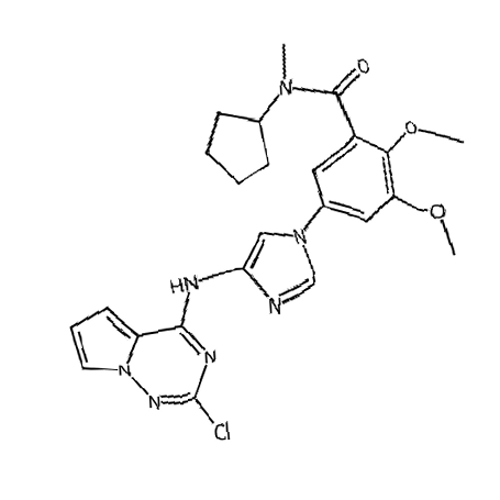 COc1cc(-n2cnc(Nc3nc(Cl)nn4cccc34)c2)cc(C(=O)N(C)C2CCCC2)c1OC